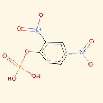 O=[N+]([O-])c1ccc(OP(=O)(O)O)c([N+](=O)[O-])c1